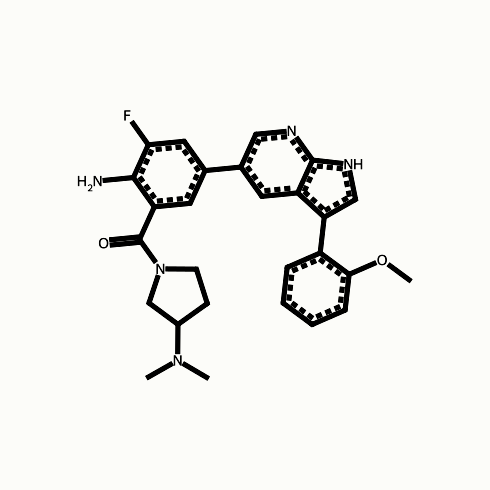 COc1ccccc1-c1c[nH]c2ncc(-c3cc(F)c(N)c(C(=O)N4CCC(N(C)C)C4)c3)cc12